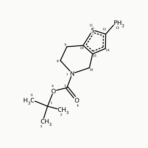 CC(C)(C)OC(=O)N1CCc2sc(P)cc2C1